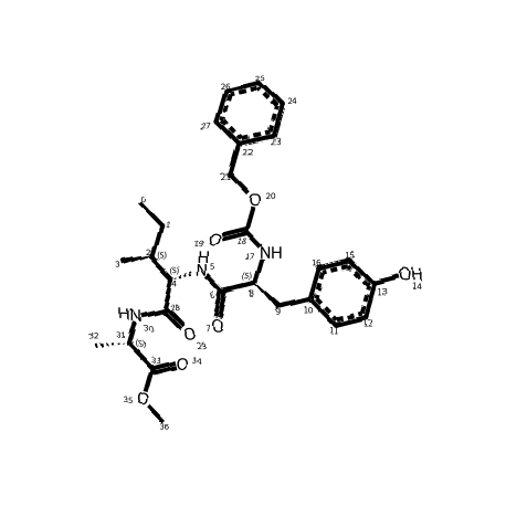 CC[C@H](C)[C@H](NC(=O)[C@H](Cc1ccc(O)cc1)NC(=O)OCc1ccccc1)C(=O)N[C@@H](C)C(=O)OC